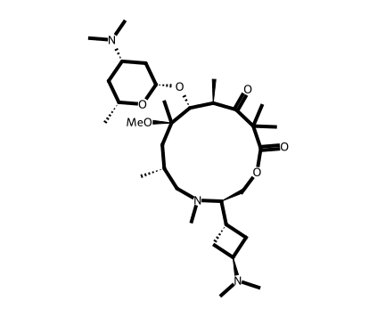 CO[C@]1(C)C[C@@H](C)CN(C)[C@H]([C@H]2C[C@H](N(C)C)C2)COC(=O)C(C)(C)C(=O)[C@H](C)[C@H]1O[C@H]1C[C@@H](N(C)C)C[C@@H](C)O1